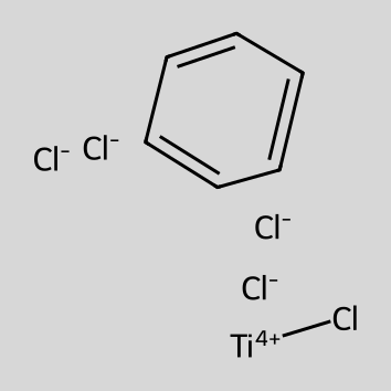 [Cl-].[Cl-].[Cl-].[Cl-].[Cl][Ti+4].c1ccccc1